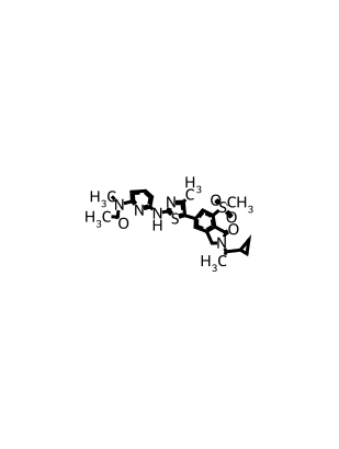 CC(=O)N(C)c1cccc(Nc2nc(C)c(-c3cc4c(c(S(C)(=O)=O)c3)C(=O)N(C(C)C3CC3)C4)s2)n1